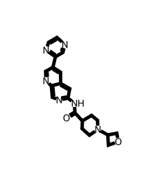 O=C(Nc1cc2cc(-c3cnccn3)cnc2cn1)C1CCN(C2COC2)CC1